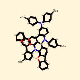 CCCCc1ccc(N2B3c4ccc5c(oc6ccccc65)c4N(c4ccc(CCCC)cc4-c4ccccc4)c4cc(-c5ccccc5)cc(c43)-c3cc(N(c4ccc(CCCC)cc4)c4ccc(CCCC)cc4)ccc32)cc1